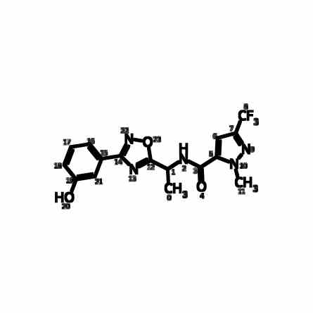 CC(NC(=O)c1cc(C(F)(F)F)nn1C)c1nc(-c2cccc(O)c2)no1